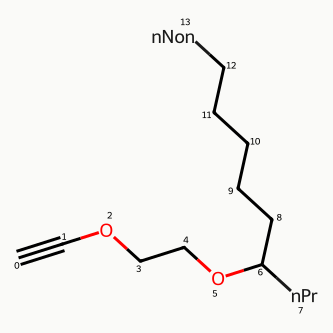 C#COCCOC(CCC)CCCCCCCCCCCCCC